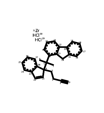 C#CCCC1(C(C)(C)c2cccc3c2Cc2ccccc2-3)C=Cc2ccccc21.Cl.Cl.[Zr]